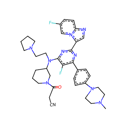 CN1CCN(c2ccc(-c3nc(-c4cnc5ccc(F)cn45)nc(N(CCN4CCCC4)C4CCCN(C(=O)CC#N)C4)c3F)cc2)CC1